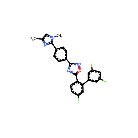 Cn1cc(C(F)(F)F)nc1-c1ccc(-c2noc(-c3ccc(F)cc3-c3cc(F)cc(F)c3)n2)cc1